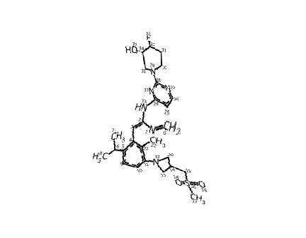 C=N/C(=C\c1c(C(C)C)ccc(N2CC(CS(C)(=O)=O)C2)c1C)Nc1ccnc(N2CC[C@H](F)[C@@H](O)C2)n1